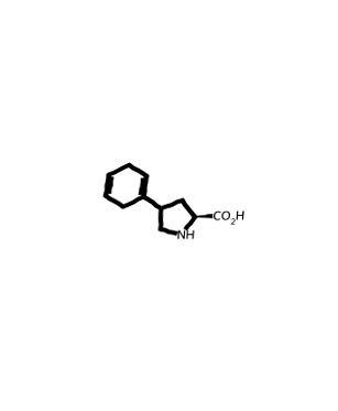 O=C(O)[C@@H]1CC(C2=CCC=CC2)CN1